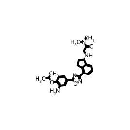 CC(C)Oc1ccc(-c2nc(-c3cccc4c3CC[C@@H]4NCC(=O)N(C)C)no2)cc1N